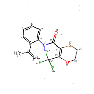 C=C(C)c1ccccc1NC(=O)C1=C(C(F)(F)F)OCCS1